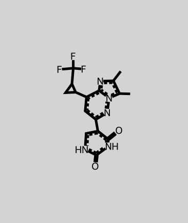 Cc1nc2c(C3CC3C(F)(F)F)cc(-c3c[nH]c(=O)[nH]c3=O)nn2c1C